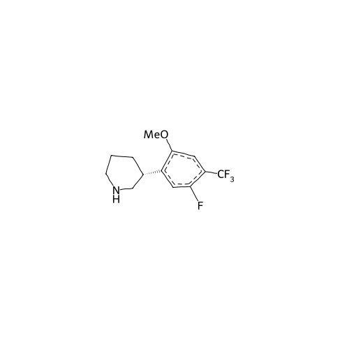 COc1cc(C(F)(F)F)c(F)cc1[C@H]1CCCNC1